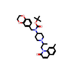 Cc1ccc2ccc(=O)n(CC(C)N3CCC(N(Cc4ccc5c(c4)OCCO5)C(=O)OC(C)(C)C)CC3)c2c1